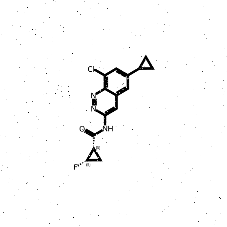 O=C(Nc1cc2cc(C3CC3)cc(Cl)c2nn1)[C@@H]1C[C@@H]1F